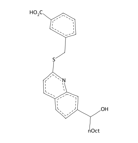 CCCCCCCCC(O)c1ccc2ccc(SCc3cccc(C(=O)O)c3)nc2c1